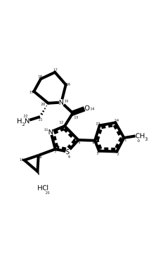 Cc1ccc(-c2sc(C3CC3)nc2C(=O)N2CCCC[C@H]2CN)cc1.Cl